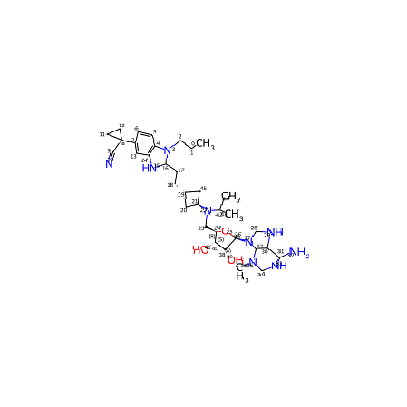 CCCN1c2ccc(C3(C#N)CC3)cc2NC1CC[C@H]1C[C@H](N(C[C@H]2O[C@@H](N3CNC4C(N)NCN(C)C43)[C@H](O)[C@@H]2O)C(C)C)C1